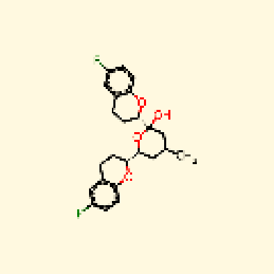 CC1CC([C@H]2CCc3cc(F)ccc3O2)OC(O)([C@@H]2CCc3cc(F)ccc3O2)C1